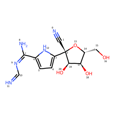 N#C[C@@]1(c2ccc(/C(N)=N\C=N)[nH]2)O[C@H](CO)[C@@H](O)[C@H]1O